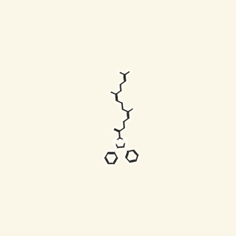 C=C(CCC=C(C)CCC=C(C)CCC=C(C)C)C1O[C@@H](c2ccccc2)[C@H](c2ccccc2)O1